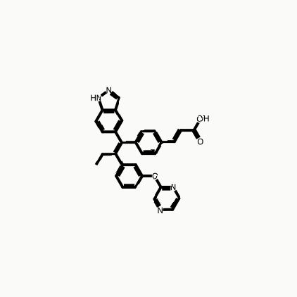 CC/C(=C(/c1ccc(/C=C/C(=O)O)cc1)c1ccc2[nH]ncc2c1)c1cccc(Oc2cnccn2)c1